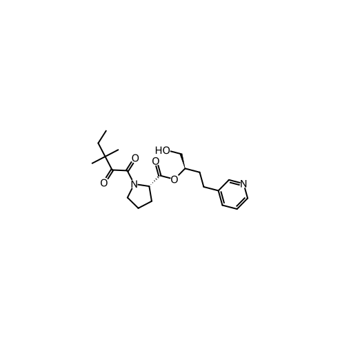 CCC(C)(C)C(=O)C(=O)N1CCC[C@H]1C(=O)O[C@@H](CO)CCc1cccnc1